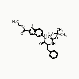 CCOC(=O)c1cc2cc(NC(=O)C(Cc3ccccc3)NC(=O)OC(C)(C)C)ccc2[nH]1